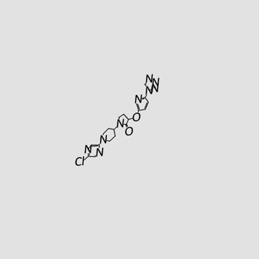 O=C1C(Oc2ccc(-n3cnnn3)nc2)CCN1C1CCN(c2cnc(Cl)cn2)CC1